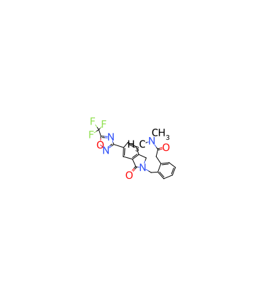 CN(C)C(=O)Cc1ccccc1CN1Cc2ccc(-c3noc(C(F)(F)F)n3)cc2C1=O